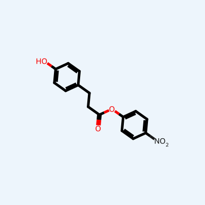 O=C(CCc1ccc(O)cc1)Oc1ccc([N+](=O)[O-])cc1